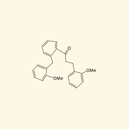 COc1ccccc1CCC(=O)c1ccccc1Cc1ccccc1OC